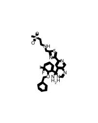 CS(=O)(=O)CCNCc1nc(-c2cc3c(cn2)N=CNC3(N)C2=CC=CC(F)(I)C2OCc2ccccc2)cs1